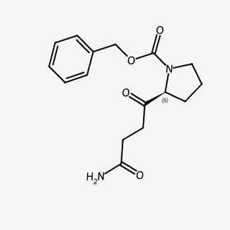 NC(=O)CCC(=O)[C@@H]1CCCN1C(=O)OCc1ccccc1